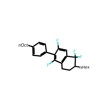 CCCCCCCCc1ccc(-c2c(F)cc3c(c2F)CCC(CCCCCC)C3(F)F)cc1